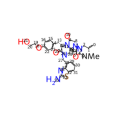 C=CCN(C(=O)NC)N1CC(=O)N2[C@@H](Cc3ccc(OCCO)cc3)C(=O)N(Cc3cccc4sc(N)nc34)C[C@@H]21